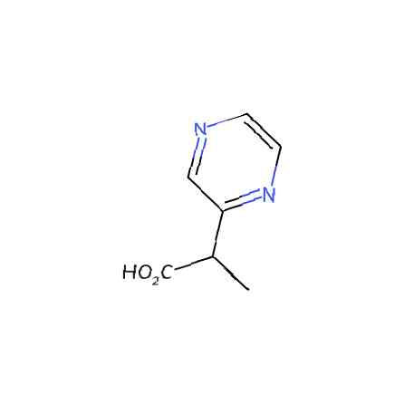 CC(C(=O)O)c1cnccn1